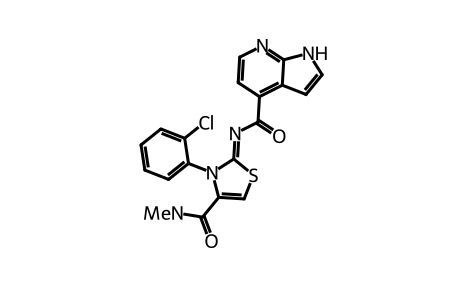 CNC(=O)c1cs/c(=N\C(=O)c2ccnc3[nH]ccc23)n1-c1ccccc1Cl